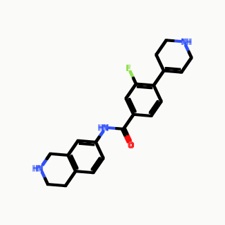 O=C(Nc1ccc2c(c1)CNCC2)c1ccc(C2=CCNCC2)c(F)c1